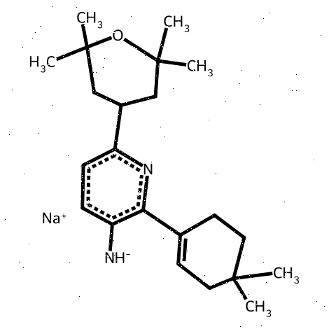 CC1(C)CC=C(c2nc(C3CC(C)(C)OC(C)(C)C3)ccc2[NH-])CC1.[Na+]